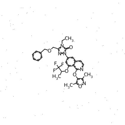 CCn1c(COCc2ccccc2)nn(-c2cc(OC(C)C(F)(F)F)c3c(Oc4c(C)noc4C)nccc3c2)c1=O